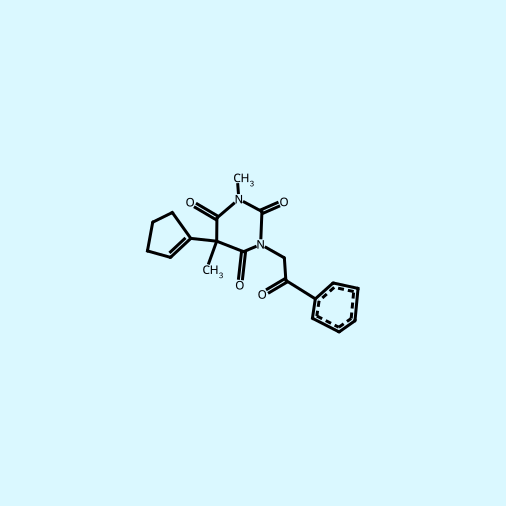 CN1C(=O)N(CC(=O)c2ccccc2)C(=O)C(C)(C2=CCCC2)C1=O